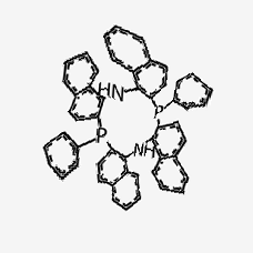 c1ccc(P2c3ccc4ccccc4c3Nc3c(ccc4ccccc34)P(c3ccccc3)c3ccc4ccccc4c3Nc3c2ccc2ccccc32)cc1